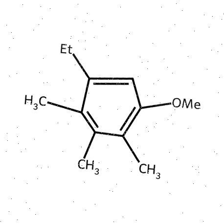 CCc1cc(OC)c(C)c(C)c1C